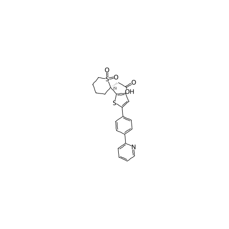 O=C(O)C[C@]1(c2ccc(-c3ccc(-c4ccccn4)cc3)s2)CCCCS1(=O)=O